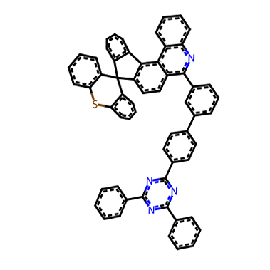 c1ccc(-c2nc(-c3ccccc3)nc(-c3ccc(-c4cccc(-c5nc6ccccc6c6c7c(ccc56)C5(c6ccccc6Sc6ccccc65)c5ccccc5-7)c4)cc3)n2)cc1